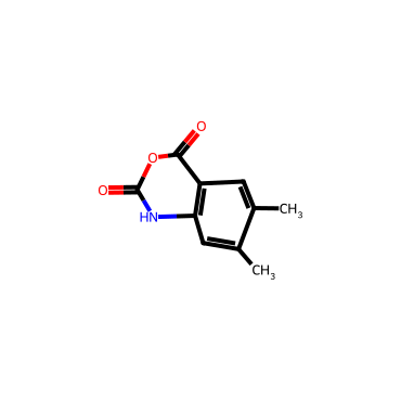 Cc1cc2[nH]c(=O)oc(=O)c2cc1C